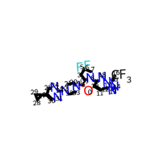 O=C([C@@H]1CC(F)(F)CN1c1ccc2nnc(C(F)(F)F)n2n1)N1CCN(c2ncc(C3CC3)cn2)CC1